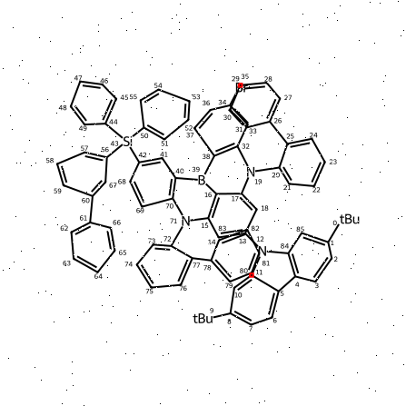 CC(C)(C)c1ccc2c3ccc(C(C)(C)C)cc3n(-c3cc4c5c(c3)N(c3ccccc3-c3ccccc3)c3cc(Br)ccc3B5c3cc([Si](c5ccccc5)(c5ccccc5)c5cccc(-c6ccccc6)c5)ccc3N4c3ccccc3-c3ccccc3)c2c1